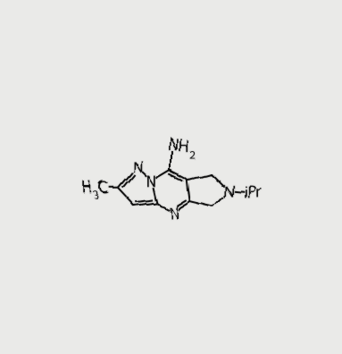 Cc1cc2nc3c(c(N)n2n1)CN(C(C)C)C3